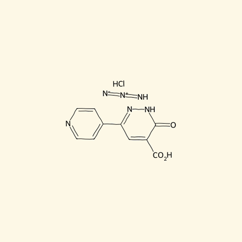 Cl.O=C(O)c1cc(-c2ccncc2)n[nH]c1=O.[N-]=[N+]=N